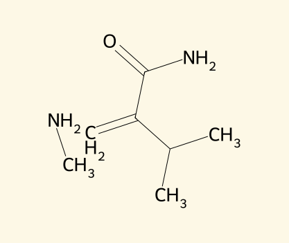 C=C(C(N)=O)C(C)C.CN